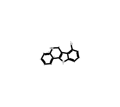 Clc1cccc2oc3c(c12)CNc1ccccc1-3